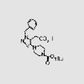 CC(C)(C)OC(=O)N1CCN(c2nnn(Cc3ccccc3)c2CC(=O)O)CC1